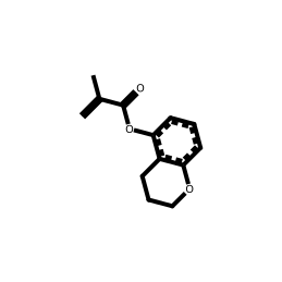 C=C(C)C(=O)Oc1cccc2c1CCCO2